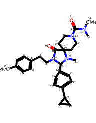 COc1ccc(CCN2C(=O)C3(CCN(C(=O)N(C)OC)CC3)N(C)C2c2ccc(C3CC3)cc2)cc1